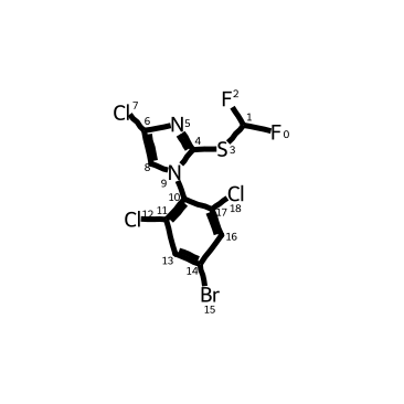 FC(F)Sc1nc(Cl)cn1-c1c(Cl)cc(Br)cc1Cl